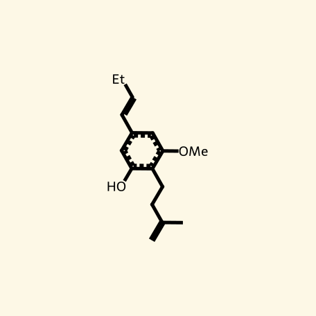 C=C(C)CCc1c(O)cc(C=CCC)cc1OC